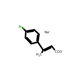 CC(=CC(=O)[O-])c1ccc(Br)cc1.[Na+]